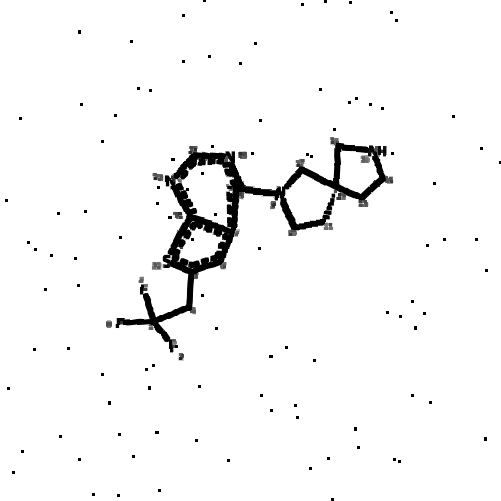 FC(F)(F)Cc1cc2c(N3CC[C@]4(CCNC4)C3)ncnc2s1